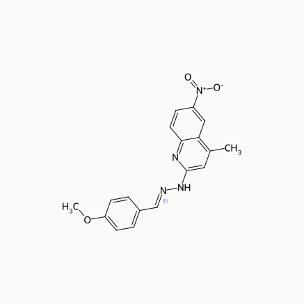 COc1ccc(/C=N/Nc2cc(C)c3cc([N+](=O)[O-])ccc3n2)cc1